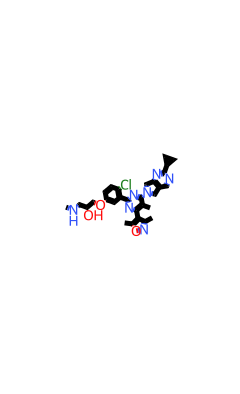 CNC[C@@H](O)COc1ccc(Cl)c(-c2nc(-c3c(C)noc3C)c(C)c(N3Cc4cnc(C5CC5)nc4C3)n2)c1